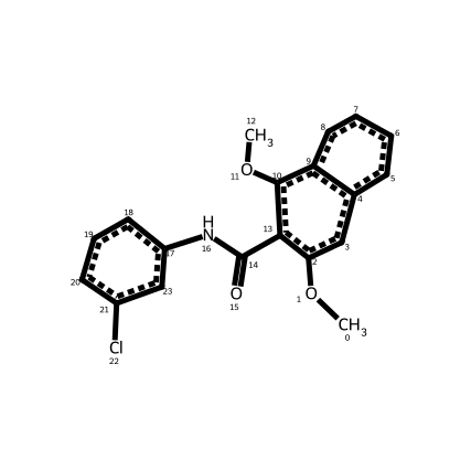 COc1cc2ccccc2c(OC)c1C(=O)Nc1cccc(Cl)c1